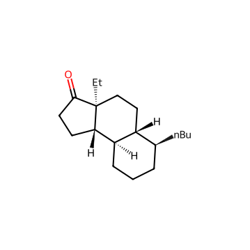 CCCC[C@H]1CCC[C@@H]2[C@@H]1CC[C@]1(CC)C(=O)CC[C@@H]21